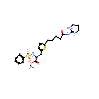 CC(C)(C)OC(=O)[C@H](Cc1ccc(CCCCC(=O)NC2=NCCCN2)s1)NS(=O)(=O)c1ccccc1